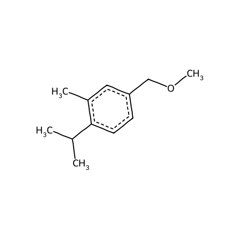 COCc1ccc(C(C)C)c(C)c1